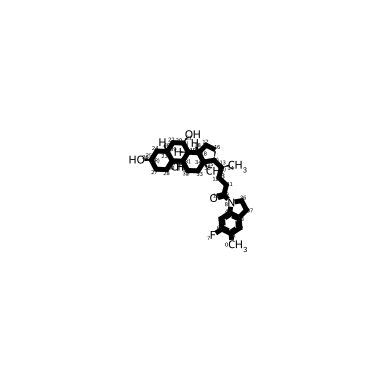 Cc1cc2c(cc1F)N(C(=O)CC[C@@H](C)[C@H]1CC[C@H]3[C@@H]4[C@@H](O)C[C@@H]5C[C@H](O)CC[C@]5(C)[C@H]4CC[C@]13C)CC2